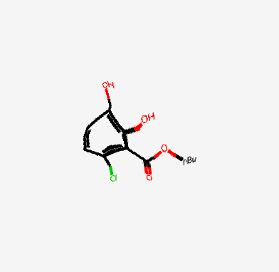 CCCCOC(=O)c1c(Cl)ccc(O)c1O